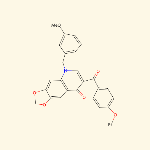 CCOc1ccc(C(=O)c2cn(Cc3cccc(OC)c3)c3cc4c(cc3c2=O)OCO4)cc1